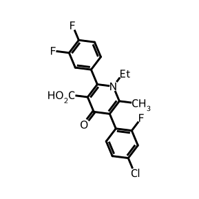 CCn1c(C)c(-c2ccc(Cl)cc2F)c(=O)c(C(=O)O)c1-c1ccc(F)c(F)c1